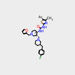 CC(=O)c1sc(NC(=O)N[C@@H]2CCN(Cc3ccco3)C[C@H]2CN2CCCC(Cc3ccc(F)cc3)C2)nc1C